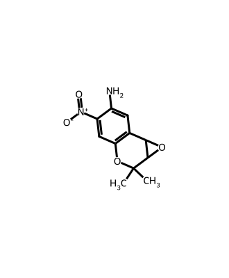 CC1(C)Oc2cc([N+](=O)[O-])c(N)cc2C2OC21